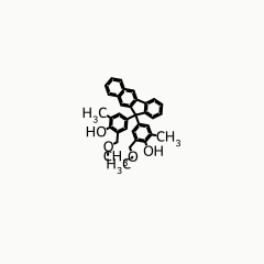 COCc1cc(C2(c3cc(C)c(O)c(COC)c3)c3ccccc3-c3cc4ccccc4cc32)cc(C)c1O